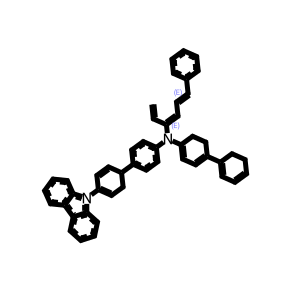 C=C/C(=C\C=C\c1ccccc1)N(C1=CC=C(C2=CC=CCC2)CC1)c1ccc(C2C=CC(n3c4ccccc4c4ccccc43)=CC2)cc1